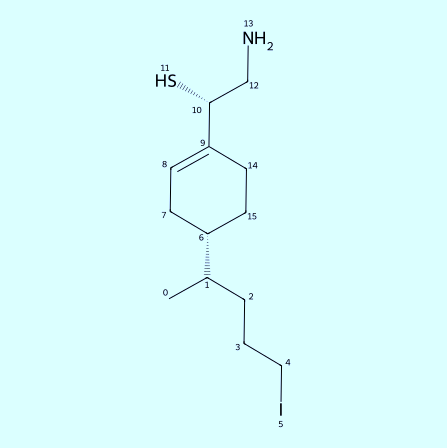 CC(CCCI)[C@@H]1CC=C([C@H](S)CN)CC1